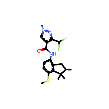 CSc1ccc(NC(=O)c2cn(C)nc2C(F)F)c2c1C(C)(C)C(C)C2